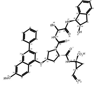 C=C[C@@H]1C[C@]1(NC(=O)[C@@H]1C[C@@H](Oc2cc(-c3ccccc3)nc3cc(OC)ccc23)CN1C(=O)NC(C(=O)N[C@H]1c2ccccc2C[C@H]1O)C(C)(C)C)C(=O)O